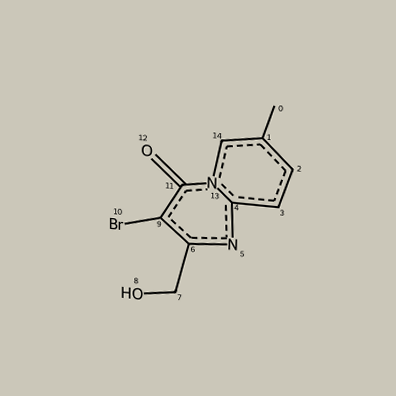 Cc1ccc2nc(CO)c(Br)c(=O)n2c1